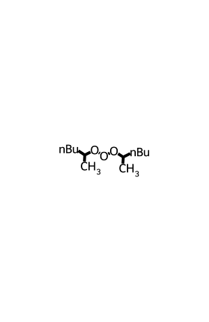 CCCCC(C)OOOC(C)CCCC